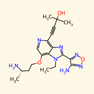 CCn1c(-c2nonc2N)nc2c(C#CC(C)(C)O)ncc(OCC[C@H](C)N)c21